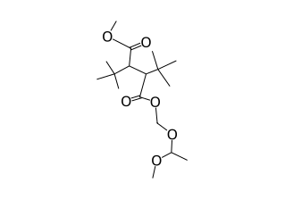 COC(=O)C(C(C(=O)OCOC(C)OC)C(C)(C)C)C(C)(C)C